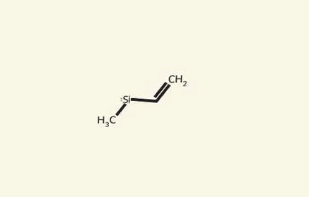 C=C[Si]C